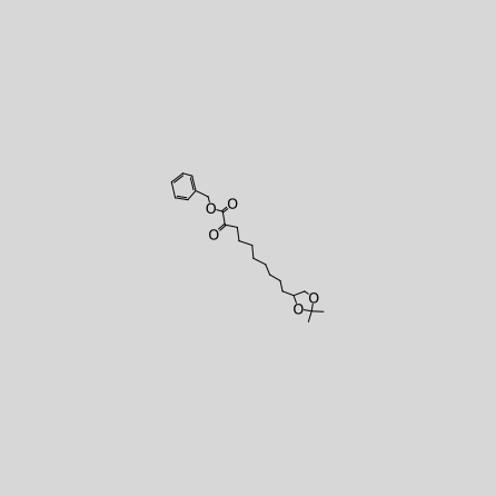 CC1(C)OCC(CCCCCCCCC(=O)C(=O)OCc2ccccc2)O1